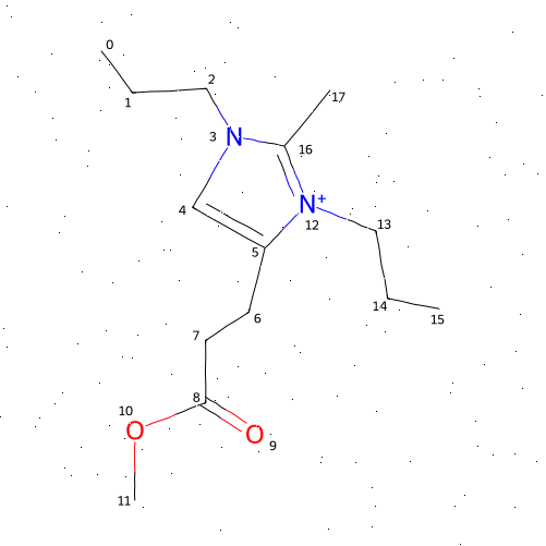 CCCn1cc(CCC(=O)OC)[n+](CCC)c1C